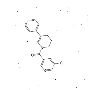 O=C(c1cncc(Cl)c1)N1CCCC(c2ccccc2)=N1